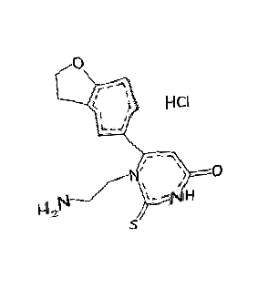 Cl.NCCn1c(-c2ccc3c(c2)CCO3)cc(=O)[nH]c1=S